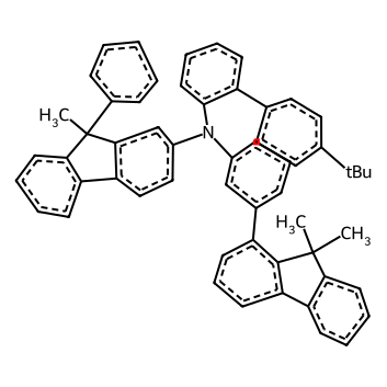 CC(C)(C)c1ccc(-c2ccccc2N(c2cccc(-c3cccc4c3C(C)(C)c3ccccc3-4)c2)c2ccc3c(c2)C(C)(c2ccccc2)c2ccccc2-3)cc1